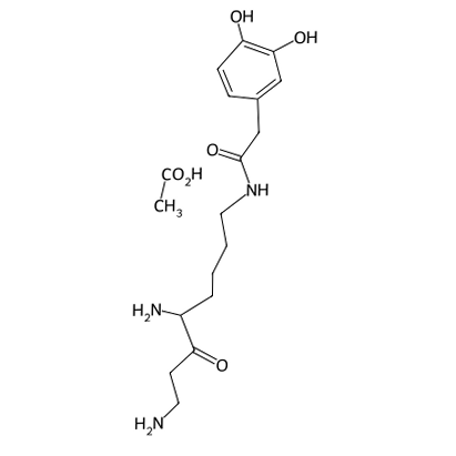 CC(=O)O.NCCC(=O)C(N)CCCCNC(=O)Cc1ccc(O)c(O)c1